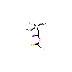 CO[Si](C)(CC(I)OC(C)=S)OC